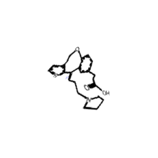 O=C(O)Cc1ccc2c(c1)/C(=C\CCN1CCCC1)c1sccc1CO2